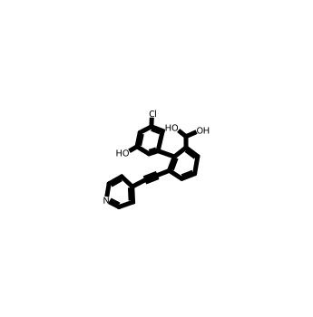 Oc1cc(Cl)cc(-c2c(C#Cc3ccncc3)cccc2C(O)O)c1